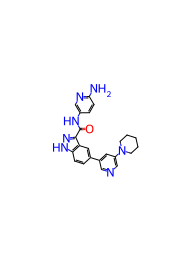 Nc1ccc(NC(=O)c2n[nH]c3ccc(-c4cncc(N5CCCCC5)c4)cc23)cn1